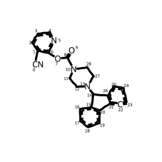 N#Cc1cccnc1OC(=O)N1CCN(C2c3ccccc3-c3ccccc32)CC1